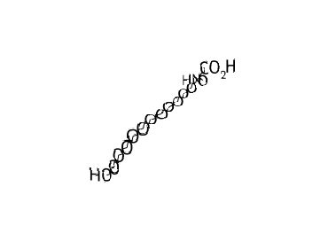 O=C(O)CCC(=O)NCCOCCOCCOCCOCCOCCOCCOCCOCCOCCOCCOCCO